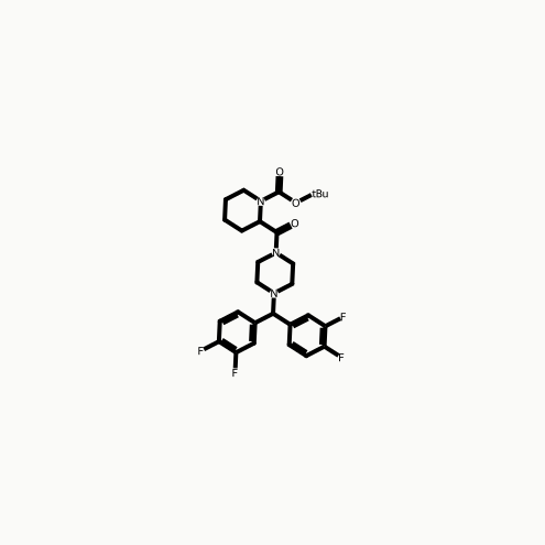 CC(C)(C)OC(=O)N1CCCCC1C(=O)N1CCN(C(c2ccc(F)c(F)c2)c2ccc(F)c(F)c2)CC1